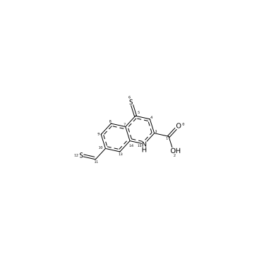 O=C(O)c1cc(=S)c2ccc(C=S)cc2[nH]1